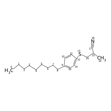 CCCCCCCCCc1ccc(SCC(C)C#N)cc1